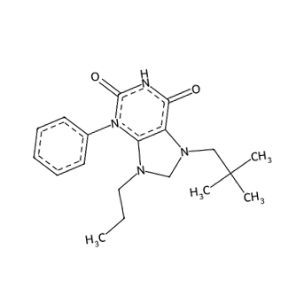 CCCN1CN(CC(C)(C)C)c2c1n(-c1ccccc1)c(=O)[nH]c2=O